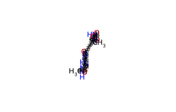 C[C@@H]1CNc2c(sc3ccc4nc(-c5ccc(N6CCN(C(=O)CCCCCCCCCc7cccc8c7n(C)c(=O)n8C7CCC(=O)NC7=O)CC6)cc5)ccc4c23)C(=O)N1